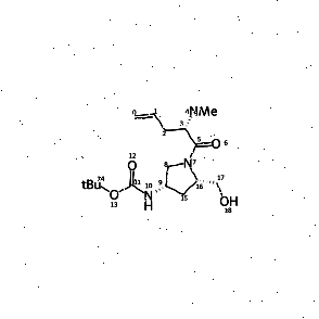 C=CC[C@H](NC)C(=O)N1C[C@@H](NC(=O)OC(C)(C)C)C[C@H]1CO